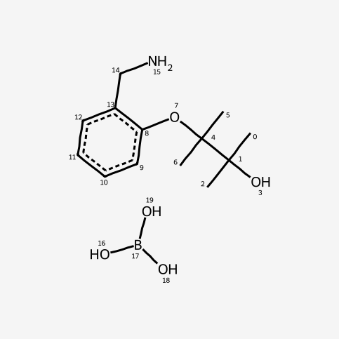 CC(C)(O)C(C)(C)Oc1ccccc1CN.OB(O)O